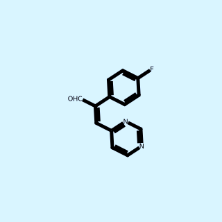 O=CC(=Cc1ccncn1)c1ccc(F)cc1